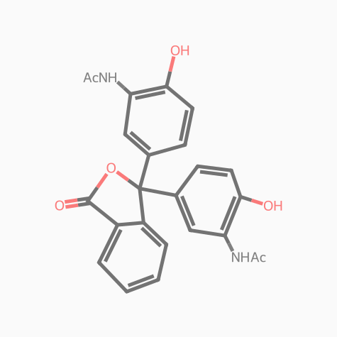 CC(=O)Nc1cc(C2(c3ccc(O)c(NC(C)=O)c3)OC(=O)c3ccccc32)ccc1O